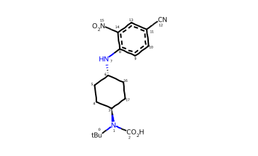 CC(C)(C)N(C(=O)O)[C@H]1CC[C@H](Nc2ccc(C#N)cc2[N+](=O)[O-])CC1